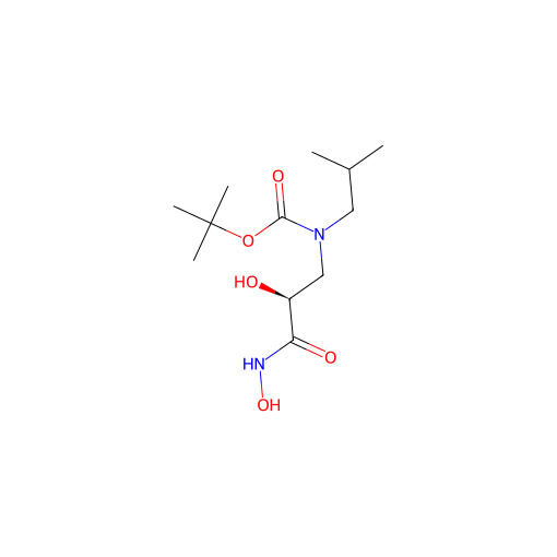 CC(C)CN(C[C@H](O)C(=O)NO)C(=O)OC(C)(C)C